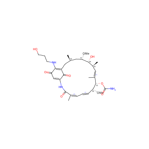 CO[C@H]1C[C@H](C)CC2=C(NCCCO)C(=O)C=C(NC(=O)/C(C)=C\C=C\[C@@H](OC)[C@@H](OC(N)=O)/C(C)=C/[C@H](C)[C@H]1O)C2=O